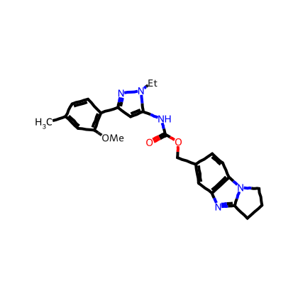 CCn1nc(-c2ccc(C)cc2OC)cc1NC(=O)OCc1ccc2c(c1)nc1n2CCC1